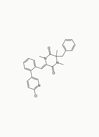 CN1C(=O)C(C)(Cc2ccccc2)N(C)C(=O)/C1=C/c1ccccc1-c1ccc(Cl)nc1